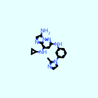 Cc1nccn1-c1cccc(Nc2cc(NC3CC3)c3ncc(N)n3n2)c1